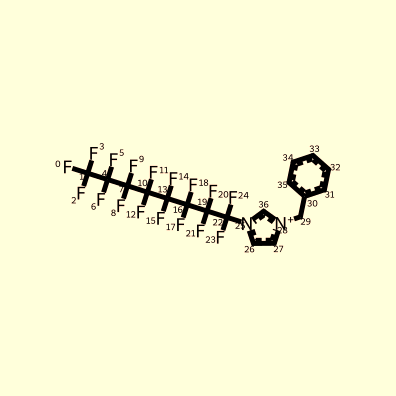 FC(F)(F)C(F)(F)C(F)(F)C(F)(F)C(F)(F)C(F)(F)C(F)(F)C(F)(F)n1cc[n+](Cc2ccccc2)c1